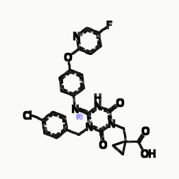 O=C(O)C1(Cn2c(=O)[nH]/c(=N\c3ccc(Oc4ccc(F)cn4)cc3)n(Cc3ccc(Cl)cc3)c2=O)CC1